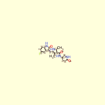 Cc1[nH]c(/C=C2\C(=O)Nc3ccc(F)cc32)c(C)c1C(=O)N[C@H]1CCC(=O)NC1